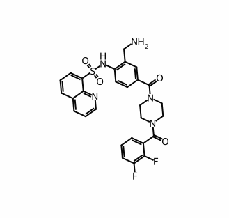 NCc1cc(C(=O)N2CCN(C(=O)c3cccc(F)c3F)CC2)ccc1NS(=O)(=O)c1cccc2cccnc12